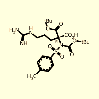 Cc1ccc(S(=O)(=O)N(C(=O)OC(C)(C)C)[C@@](CCCNC(=N)N)(C(=O)O)C(=O)OC(C)(C)C)cc1